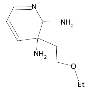 CCOCCC1(N)C=CC=NC1N